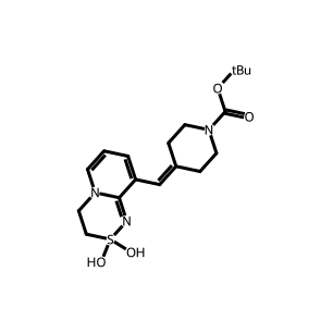 CC(C)(C)OC(=O)N1CCC(=CC2=CC=CN3CCS(O)(O)N=C23)CC1